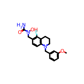 COc1cccc(CN2CCCc3c2ccc(CN(O)C(N)=O)c3F)c1